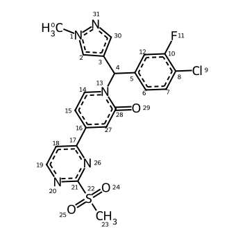 Cn1cc(C(c2ccc(Cl)c(F)c2)n2ccc(-c3ccnc(S(C)(=O)=O)n3)cc2=O)cn1